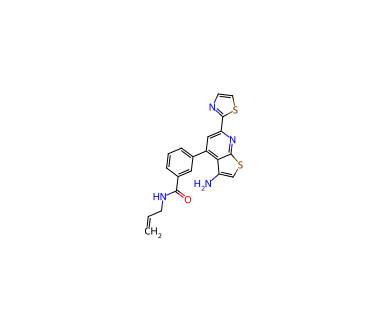 C=CCNC(=O)c1cccc(-c2cc(-c3nccs3)nc3scc(N)c23)c1